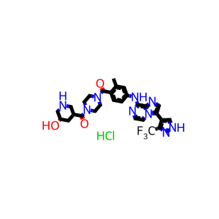 Cc1cc(Nc2nccn3c(-c4c[nH]nc4C(F)(F)F)cnc23)ccc1C(=O)N1CCN(C(=O)C2CNCC(O)C2)CC1.Cl